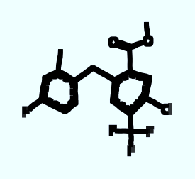 COC(=O)c1cc(Cl)c(C(F)(F)F)cc1Cc1ccc(F)cc1C